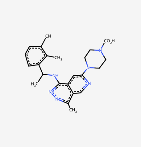 Cc1c(C#N)cccc1C(C)Nc1nnc(C)c2cnc(N3CCN(C(=O)O)CC3)cc12